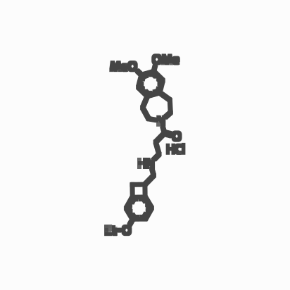 CCOc1ccc2c(c1)CC2CNCCC(=O)N1CCc2cc(OC)c(OC)cc2CC1.Cl